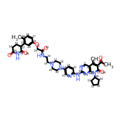 CC(=O)c1c(C)c2cnc(Nc3ccc(N4CCN(CCNC(=O)COc5ccc(C)c(C6CCC(=O)NC6=O)c5)CC4)cn3)nc2n(C2CCCC2)c1=O